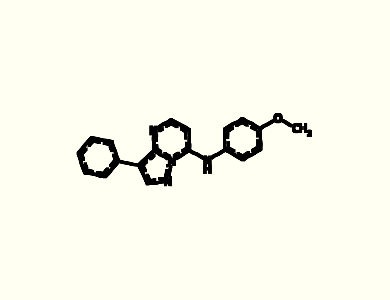 COc1ccc(Nc2ccnc3c(-c4ccccc4)cnn23)cc1